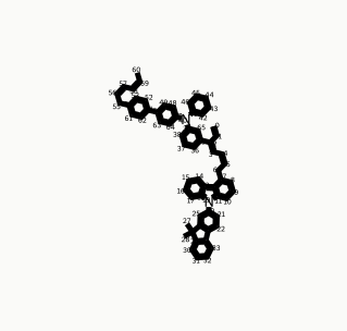 C=C/C(=C\C=C/Cc1cccc2c1c1ccccc1n2-c1ccc2c(c1)C(C)(C)c1ccccc1-2)c1cccc(N(c2ccccc2)c2ccc(-c3ccc(C/C=C\C=C/C)cc3)cc2)c1